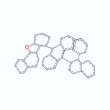 c1ccc(-c2c(-c3c4ccccc4c(-c4cccc5oc6c7ccccc7ccc6c45)c4ccccc34)ccc3ccccc23)cc1